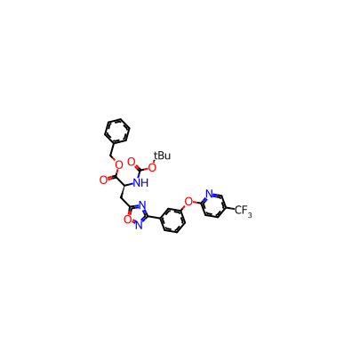 CC(C)(C)OC(=O)N[C@@H](Cc1nc(-c2cccc(Oc3ccc(C(F)(F)F)cn3)c2)no1)C(=O)OCc1ccccc1